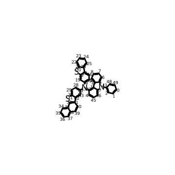 c1ccc(-n2c3ccccc3c3c(N(c4ccc5c(c4)sc4ccccc45)c4ccc5sc6c7ccccc7ccc6c5c4)cccc32)cc1